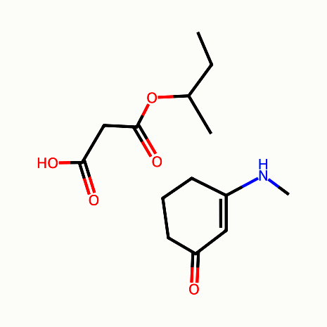 CCC(C)OC(=O)CC(=O)O.CNC1=CC(=O)CCC1